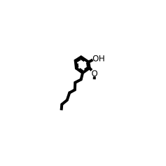 CCCCCCCc1cccc(O)c1OC